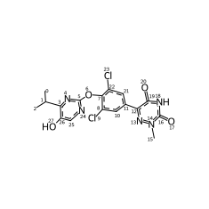 CC(C)c1nc(Oc2c(Cl)cc(-c3nn(C)c(=O)[nH]c3=O)cc2Cl)ncc1O